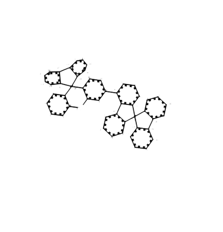 c1ccc2c(c1)Oc1cc(-c3cccc4c3-c3ccccc3C43c4ccccc4-c4ccccc43)ccc1C21c2ccccc2-c2ccccc21